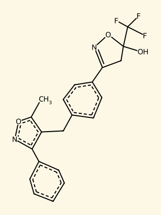 Cc1onc(-c2ccccc2)c1Cc1ccc(C2=NOC(O)(C(F)(F)F)C2)cc1